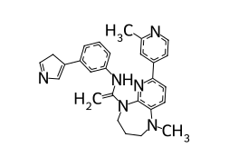 C=C(Nc1cccc(C2=CN=CC2)c1)N1CCCN(C)c2ccc(-c3ccnc(C)c3)nc21